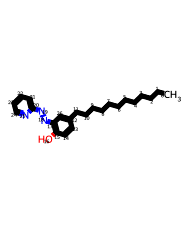 CCCCCCCCCCCCc1ccc(O)c(N=Nc2ccccn2)c1